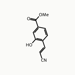 COC(=O)c1ccc(C=CC#N)c(O)c1